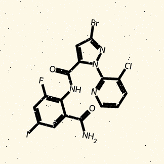 NC(=O)c1cc(I)cc(F)c1NC(=O)c1cc(Br)nn1-c1ncccc1Cl